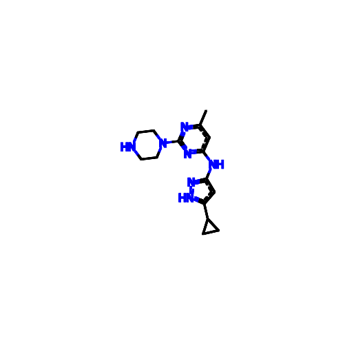 Cc1cc(Nc2cc(C3CC3)[nH]n2)nc(N2CCNCC2)n1